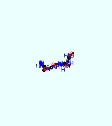 CC(C)OC(=O)N[C@H]1CC[C@H](c2ncc(-c3ccc(Nc4cn(CCC(C)OC(=O)N[C@H]5CC[C@H](c6ncc(-c7ccc(Nc8cn(C)nn8)cc7P7(=O)CCCC7)s6)CC5)nn4)cc3S(=N)(=O)C3CC3)s2)CC1